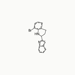 Brc1cccc2c1NC(c1nc3ccccc3s1)CC2